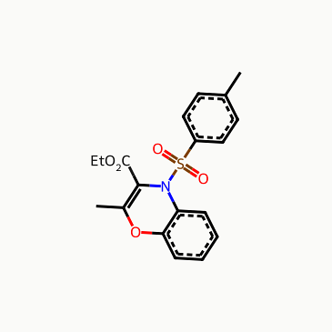 CCOC(=O)C1=C(C)Oc2ccccc2N1S(=O)(=O)c1ccc(C)cc1